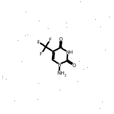 Nn1cc(C(F)(F)F)c(=O)[nH]c1=O